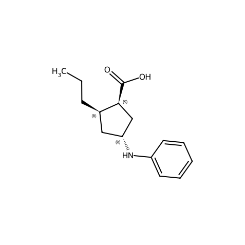 CCC[C@@H]1C[C@@H](Nc2ccccc2)C[C@@H]1C(=O)O